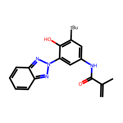 C=C(C)C(=O)Nc1cc(-n2nc3ccccc3n2)c(O)c(C(C)(C)C)c1